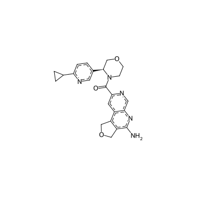 Nc1nc2cnc(C(=O)N3CCOC[C@@H]3c3ccc(C4CC4)nc3)cc2c2c1COC2